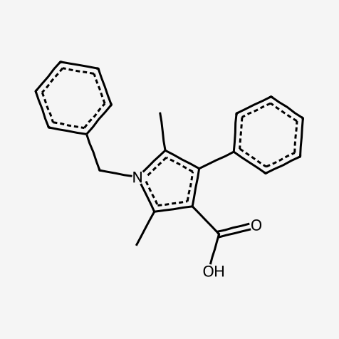 Cc1c(C(=O)O)c(-c2ccccc2)c(C)n1Cc1ccccc1